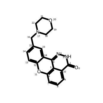 O=c1[nH]nc2c3c(cccc13)Oc1ccc(CN3CCOCC3)cc1-2